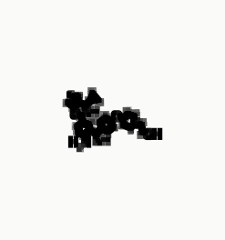 N=C(c1ccc(OC2CCN(CCO)CC2)cc1)c1cc(C(=O)NC(c2ccsc2)C2CC2)ccc1N